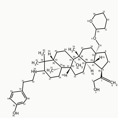 C=C(CO)[C@@H]1CC[C@]2(COC3CCCCO3)CC[C@]3(C)[C@H](CC[C@@H]4[C@@]5(C)CCC(NCCc6ccc(O)cc6)C(C)(C)[C@@H]5CC[C@]43C)[C@@H]12